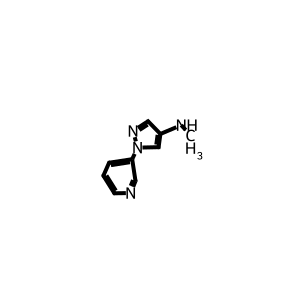 CNc1cnn(-c2cccnc2)c1